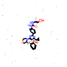 CC[C@H]1COCCN1c1cc(C2(S(=O)(=O)c3ccccc3)CC2)nc(-c2ccc(NC(=O)N[C@H](C)CO)cc2)n1